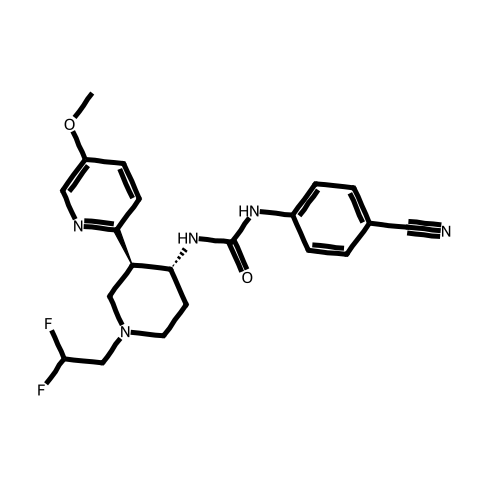 COc1ccc([C@@H]2CN(CC(F)F)CC[C@H]2NC(=O)Nc2ccc(C#N)cc2)nc1